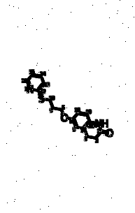 O=C1CCc2cc(OCCCSc3ccccn3)ccc2N1